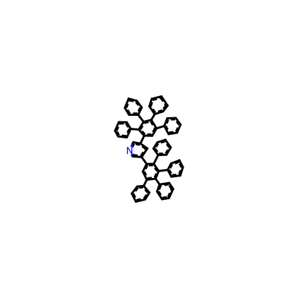 c1ccc(-c2cc(-c3cncc(-c4cc(-c5ccccc5)c(-c5ccccc5)c(-c5ccccc5)c4-c4ccccc4)c3)c(-c3ccccc3)c(-c3ccccc3)c2-c2ccccc2)cc1